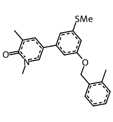 CSc1cc(OCc2ccccc2C)cc(-c2cc(C)c(=O)n(C)c2)c1